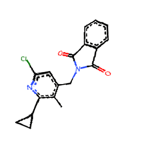 Cc1c(CN2C(=O)c3ccccc3C2=O)cc(Cl)nc1C1CC1